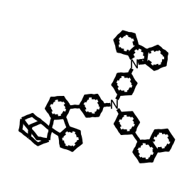 c1ccc2c(c1)-c1c(-c3ccc(N(c4ccc(-c5cccc6ccccc56)cc4)c4ccc(-n5c6ccccc6c6ccccc65)cc4)cc3)cccc1C21C2CC3CC(C2)CC1C3